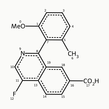 COc1cccc(C)c1-c1ncc(F)c2ccc(C(=O)O)cc12